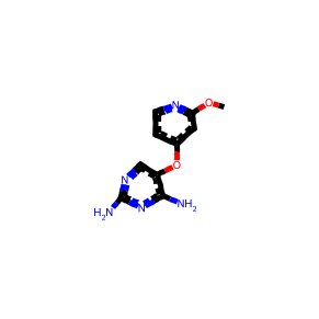 COc1cc(Oc2cnc(N)nc2N)ccn1